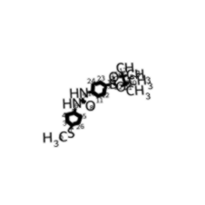 CSc1ccc(NC(=O)Nc2ccc(B3OC(C)(C)C(C)(C)O3)cc2)cc1